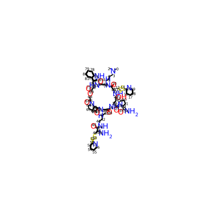 CN(C)CCCC[C@@H]1NC(=O)[C@H](CSSc2ccccn2)NC(O)C[C@@H](C(=O)N2CCC[C@H]2C(N)=O)NC(=O)[C@H](CCCCNC(=O)[C@@H](N)CSSc2ccccn2)NC(=O)[C@@H]2CCCN2C(=O)COC(=O)[C@H](Cc2c[nH]c3ccccc23)NC1=O